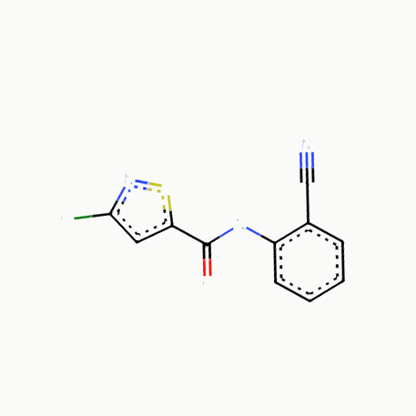 N#Cc1ccccc1NC(=O)c1cc(Cl)ns1